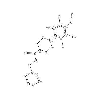 O=C(OCc1ccccc1)N1CCN(c2c(F)c(F)c(CBr)c(F)c2F)CC1